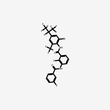 O=C(Nc1cccc(C(=O)Nc2c(Br)cc(C(F)(C(F)(F)F)C(F)(F)F)cc2C(F)(F)F)c1F)c1cccc(F)c1